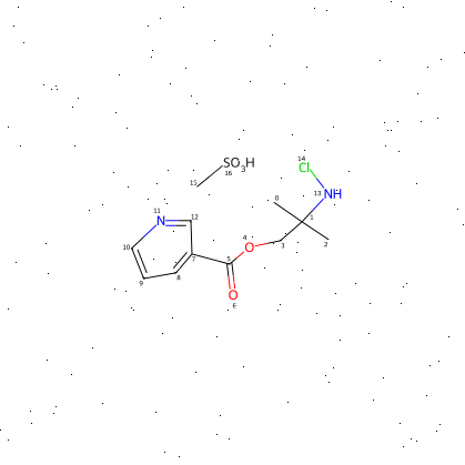 CC(C)(COC(=O)c1cccnc1)NCl.CS(=O)(=O)O